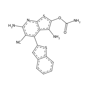 N#Cc1c(N)nc2sc(OC(N)=O)c(N)c2c1-c1cc2ccccc2s1